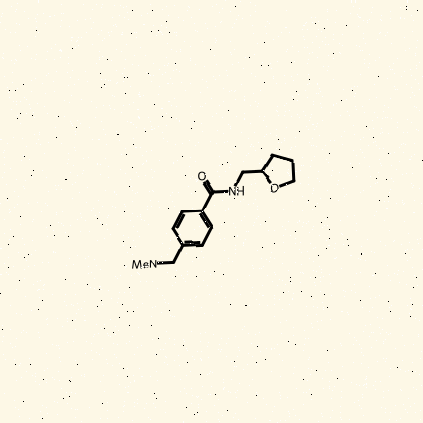 CNCc1ccc(C(=O)NCC2CCCO2)cc1